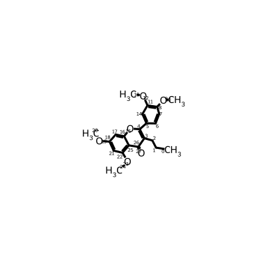 CCCc1c(-c2ccc(OC)c(OC)c2)oc2cc(OC)cc(OC)c2c1=O